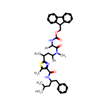 CC(=O)OC(CC(C(C)C)N(C)C(=O)C(NC(=O)OCC1c2ccccc2-c2ccccc21)C(C)C)c1nc(C(=O)NC(Cc2ccccc2)CC(C)C(=O)O)c(C)s1